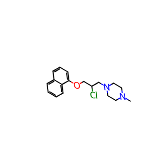 CN1CCN(CC(Cl)COc2cccc3ccccc23)CC1